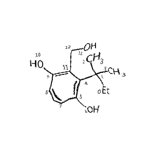 CCC(C)(C)c1c(O)ccc(O)c1CO